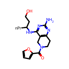 CCCC(CCO)Nc1nc(N)nc2c1CN(C(=O)c1ccco1)CC2